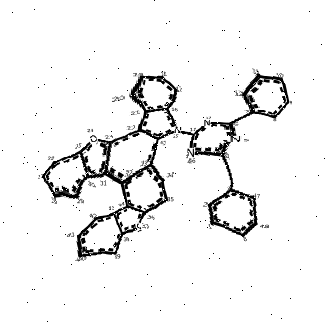 c1ccc(-c2nc(-c3ccccc3)nc(-n3c4ccccc4c4c5oc6ccccc6c5c5c(ccc6sc7ccccc7c65)c43)n2)cc1